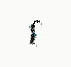 CCCCc1ccc(C2CCC(/C=C/c3ccc(-c4ccc(CCC)cc4)c(F)c3F)CC2)c(F)c1